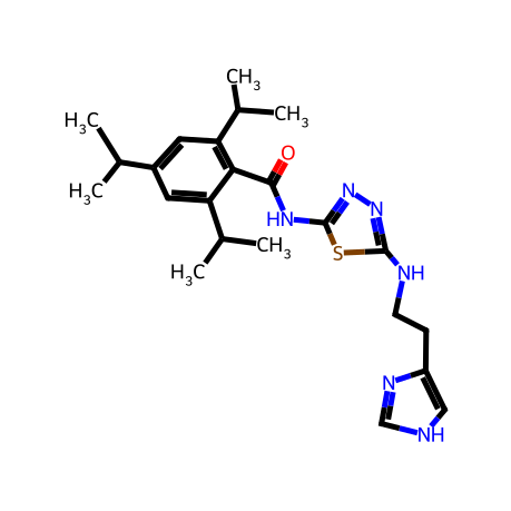 CC(C)c1cc(C(C)C)c(C(=O)Nc2nnc(NCCc3c[nH]cn3)s2)c(C(C)C)c1